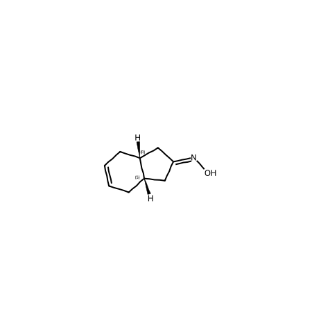 ON=C1C[C@H]2CC=CC[C@H]2C1